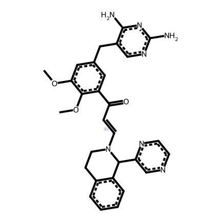 COc1cc(Cc2cnc(N)nc2N)cc(C(=O)/C=C/N2CCc3ccccc3C2c2cnccn2)c1OC